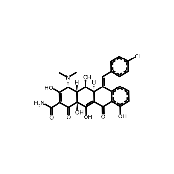 CN(C)[C@H]1C(O)=C(C(N)=O)C(=O)[C@@]2(O)C(O)=C3C(=O)c4c(O)cccc4/C(=C\c4ccc(Cl)cc4)[C@@H]3[C@H](O)[C@@H]12